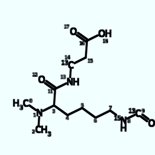 CN(C)C(CCCC[15NH][13CH]=O)C(=O)N[13CH2]CC(=O)O